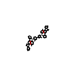 Cc1ccc(N(c2ccc(-c3ccc(N(c4ccc(C)cc4)c4ccccc4-c4ccc5c(c4)C(C)(C)c4ccccc4-5)c(C)c3)cc2C)c2ccccc2-c2ccc3c(c2)C(C)(C)c2ccccc2-3)cc1